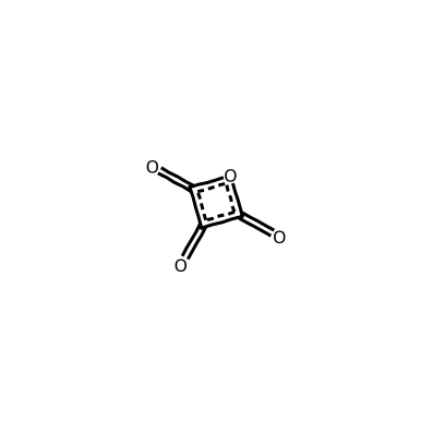 O=c1oc(=O)c1=O